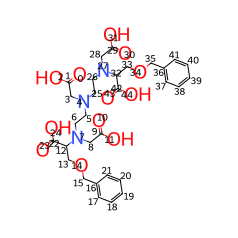 O=C(O)CN(CCN(CC(=O)O)C(COCc1ccccc1)C(=O)O)CCN(CC(=O)O)C(COCc1ccccc1)C(=O)O